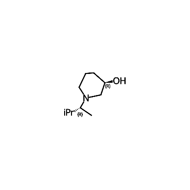 CC(C)[C@@H](C)N1CCC[C@@H](O)C1